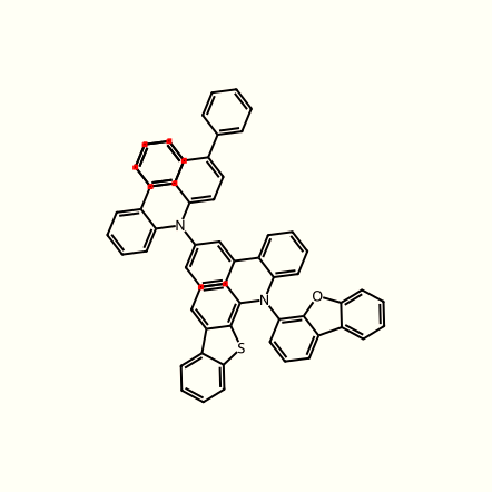 c1ccc(-c2ccccc2N(c2cccc(-c3ccccc3N(c3cccc4c3oc3ccccc34)c3cccc4c3sc3ccccc34)c2)c2ccc(-c3ccccc3)c3ccccc23)cc1